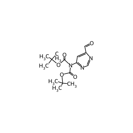 CC(C)(C)OC(=O)N(C(=O)OC(C)(C)C)c1cc(C=O)ncn1